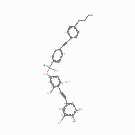 CCCCc1ccc(C#Cc2ccc(C(F)(F)Oc3cc(F)c(C#Cc4cc(F)c(F)c(F)c4)c(F)c3)cc2)cc1